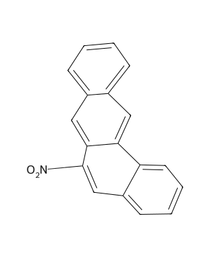 O=[N+]([O-])c1cc2ccccc2c2cc3ccccc3cc12